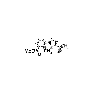 COC(=O)c1cccc(N2CCC(N(C)C(C)C)C2)c1C